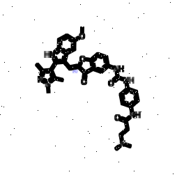 COc1ccc2[nH]c(-c3c(C)nn(C)c3C)c(/C=C3\Oc4ccc(NC(=O)Nc5ccc(NC(=O)CCN(C)C)cc5)cc4C3=O)c2c1